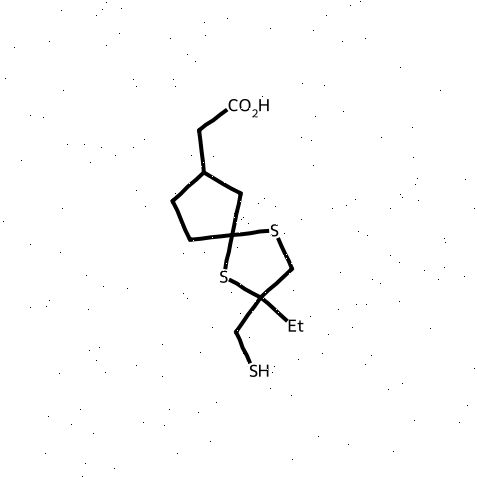 CCC1(CS)CSC2(CCC(CC(=O)O)C2)S1